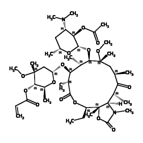 C=CC(=O)O[C@H]1[C@H](C)O[C@@H](O[C@H]2[C@H](C)[C@@H](O[C@@H]3O[C@H](C)C[C@H](N(C)C)[C@H]3OC(C)=O)[C@](C)(OC)C[C@@H](C)C(=O)[C@H](C)[C@H]3N(C)C(=O)O[C@]3(C)[C@@H](CC)OC(=O)[C@@H]2C)C[C@@]1(C)OC